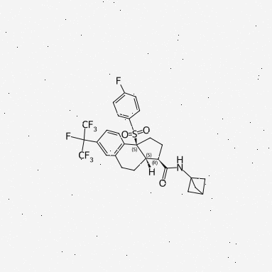 O=C(NC12CC(C1)C2)[C@@H]1CC[C@@]2(S(=O)(=O)c3ccc(F)cc3)c3ccc(C(F)(C(F)(F)F)C(F)(F)F)cc3CC[C@@H]12